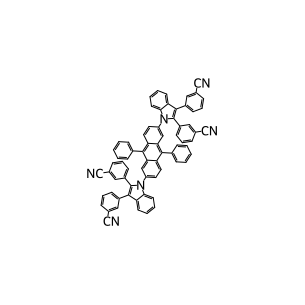 N#Cc1cccc(-c2c(-c3cccc(C#N)c3)n(-c3ccc4c(-c5ccccc5)c5cc(-n6c(-c7cccc(C#N)c7)c(-c7cccc(C#N)c7)c7ccccc76)ccc5c(-c5ccccc5)c4c3)c3ccccc23)c1